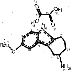 CCCCOc1ccc2[nH]c3c(c2c1)CC(N)CC3.O=C(O)C(=O)O